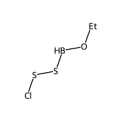 CCOBSSCl